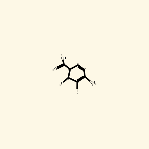 CC1=C(I)C(F)C(C(=O)O)C=C1